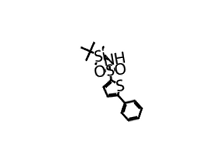 CC(C)(C)[Si](C)(C)NS(=O)(=O)c1ccc(-c2ccccc2)s1